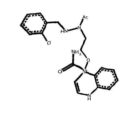 CC(=O)N(CCO[N+]1(C(N)=O)C=CNc2ccccc21)NCc1ccccc1Cl